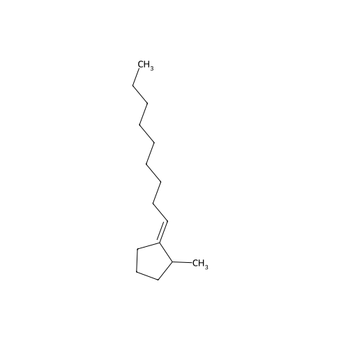 CCCCCCCCC=C1CCCC1C